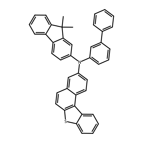 CC1(C)c2ccccc2-c2ccc(N(c3cccc(-c4ccccc4)c3)c3ccc4c(ccc5sc6ccccc6c54)c3)cc21